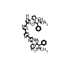 CN(C)[C@@H](C(=O)N1CCC[C@H]1c1nc(-c2ncc(-c3cnc(-c4c[nH]c([C@@H]5CCCN5C(=O)[C@@H](c5ccccc5)N(C)C)n4)s3)s2)c[nH]1)c1ccccc1